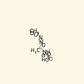 COc1ccc(CN2CCN(C(=O)CC(C)CCNC(=O)[C@@H]3O[C@H]3C(=O)O)CC2)cc1